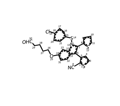 N#Cc1sccc1-c1c(-c2cccs2)n(Sc2ccc(Cl)cc2)c2cc(OCCCCC=O)ccc12